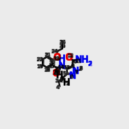 [2H]C([2H])(CC)c1nn(C)c(C(N)=O)c1NC(=O)c1ccccc1OCCC